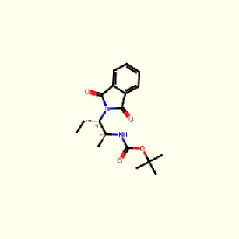 CC[C@@H]([C@H](C)NC(=O)OC(C)(C)C)N1C(=O)c2ccccc2C1=O